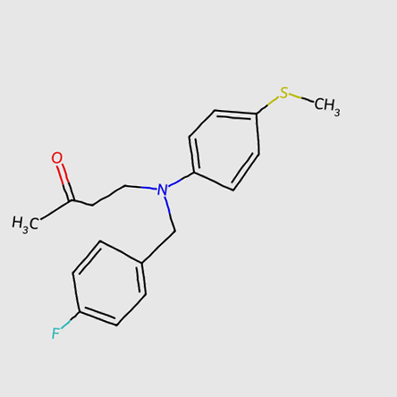 CSc1ccc(N(CCC(C)=O)Cc2ccc(F)cc2)cc1